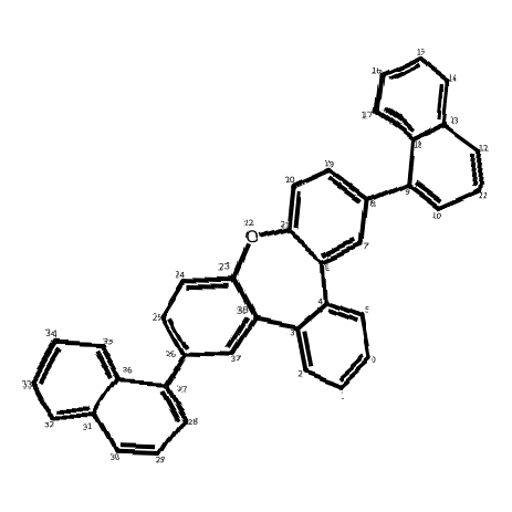 c1ccc2c(c1)-c1cc(-c3cccc4ccccc34)ccc1Oc1ccc(-c3cccc4ccccc34)cc1-2